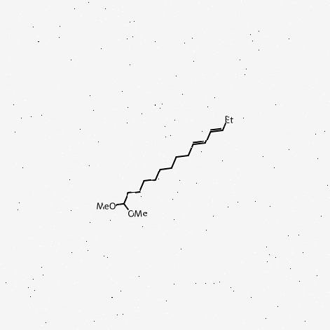 CCC=CC=CCCCCCCCCC(OC)OC